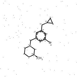 C[C@H]1CCCN(Cc2cc(Br)cc(CC3CC3)c2)C1